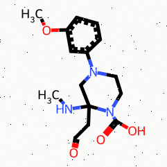 CNC1(CC=O)CN(c2cccc(OC)c2)CCN1C(=O)O